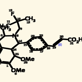 COC1=CC=C2CC(C)N(CC(C)(C)F)C(c3ccc(/C=C/C(=O)O)cc3)C2C1OC